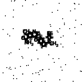 C=C(C1=CCc2cc(Oc3ccnc4cc(CC)c(C(N)=O)cc34)c(Cl)cc21)N1CC(F)(F)C1